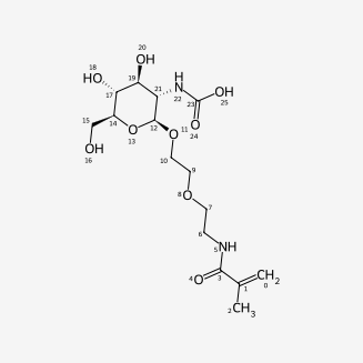 C=C(C)C(=O)NCCOCCO[C@H]1O[C@@H](CO)[C@H](O)[C@@H](O)[C@@H]1NC(=O)O